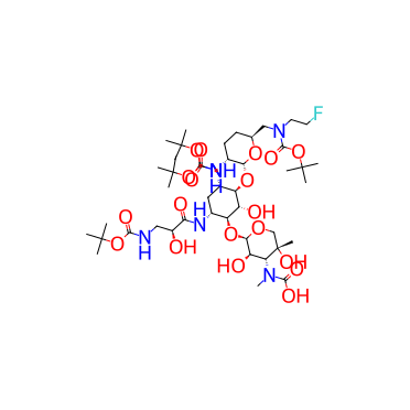 CN(C(=O)O)[C@@H]1[C@@H](O)[C@@H](O[C@@H]2[C@@H](O)[C@H](O[C@H]3O[C@H](CN(CCF)C(=O)OC(C)(C)C)CC[C@H]3NC(=O)OC(C)(C)C)[C@@H](NC(=O)OC(C)(C)C)C[C@H]2NC(=O)[C@@H](O)CNC(=O)OC(C)(C)C)OC[C@]1(C)O